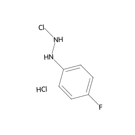 Cl.Fc1ccc(NNCl)cc1